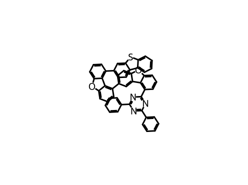 c1ccc(-c2nc(-c3ccccc3)nc(-c3cccc4oc5ccc(-c6cccc7oc8cccc(-c9ccc%10c(c9)sc9ccccc9%10)c8c67)cc5c34)n2)cc1